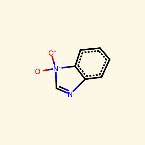 [O-][N+]1([O-])C=Nc2ccccc21